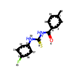 Cc1ccc(C(=O)NC(=S)Nc2ccc(F)cc2)cc1